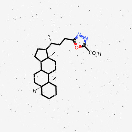 C[C@H](CCc1nnc(C(=O)O)o1)C1CCC2C3CC[C@@H]4CCCC[C@]4(C)C3CC[C@@]21C